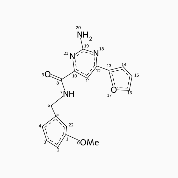 COc1cccc(CNC(=O)c2cc(-c3ccco3)nc(N)n2)c1